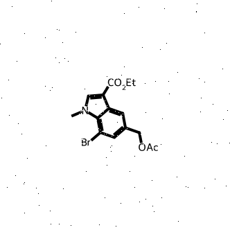 CCOC(=O)c1cn(C)c2c(Br)cc(COC(C)=O)cc12